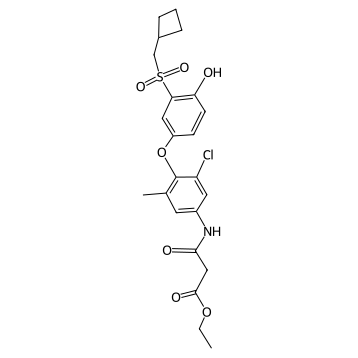 CCOC(=O)CC(=O)Nc1cc(C)c(Oc2ccc(O)c(S(=O)(=O)CC3CCC3)c2)c(Cl)c1